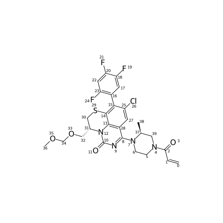 C=CC(=O)N1CCN(c2nc(=O)n3c4c(c(-c5cc(F)c(F)cc5F)c(Cl)cc24)SC[C@H]3COCOC)[C@@H](C)C1